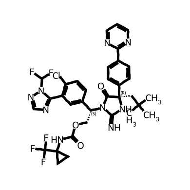 CC(C)(C)C[C@]1(c2ccc(-c3ncccn3)cc2)NC(=N)N([C@H](COC(=O)NC2(C(F)(F)F)CC2)c2ccc(Cl)c(-c3ncnn3C(F)F)c2)C1=O